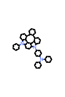 c1ccc(N(c2ccccc2)c2ccc(-n3c4cccc5c6ccccc6c6cccc7c6c6c(c54)c3ccc6n7-c3ccccc3)cc2)cc1